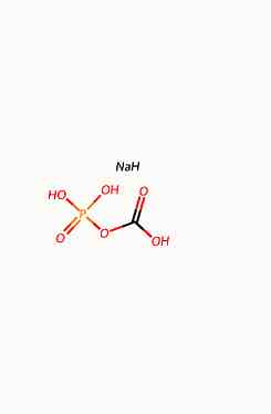 O=C(O)OP(=O)(O)O.[NaH]